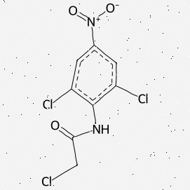 O=C(CCl)Nc1c(Cl)cc([N+](=O)[O-])cc1Cl